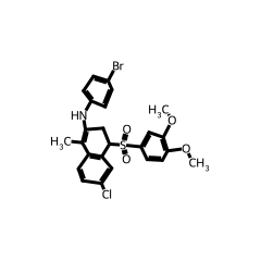 COc1ccc(S(=O)(=O)C2CC(Nc3ccc(Br)cc3)=C(C)c3ccc(Cl)cc32)cc1OC